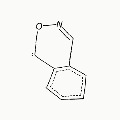 [C]1ON=Cc2ccccc21